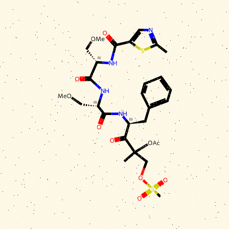 COC[C@H](NC(=O)c1cnc(C)s1)C(=O)N[C@@H](COC)C(=O)N[C@@H](Cc1ccccc1)C(=O)C(C)(COS(C)(=O)=O)OC(C)=O